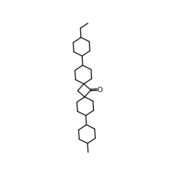 CCC1CCC(C2CCC3(CC2)CC2(CCC(C4CCC(C)CC4)CC2)C3=O)CC1